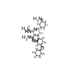 CNC1=NC(c2cccc(N)c2)CC(c2ccc(Oc3ccccc3)cc2)=C1C(=N)N